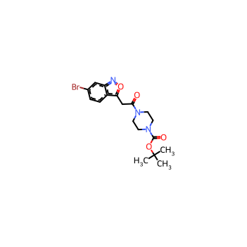 CC(C)(C)OC(=O)N1CCN(C(=O)Cc2onc3cc(Br)ccc23)CC1